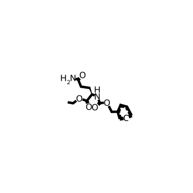 CCOC(=O)[C@@H](CCC(N)=O)NC(=O)OCc1ccccc1